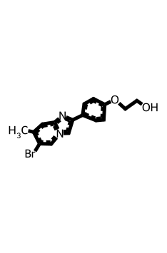 Cc1cc2nc(-c3ccc(OCCO)cc3)cn2cc1Br